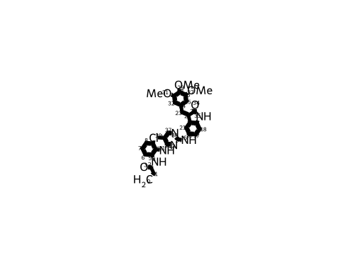 C=CC(=O)Nc1ccccc1Nc1nc(Nc2ccc3c(c2)C(=Cc2cc(OC)c(OC)c(OC)c2)C(=O)N3)ncc1Cl